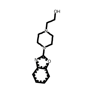 OCCN1CCN(c2nc3ccccc3o2)CC1